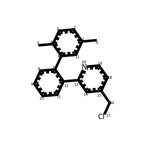 Cc1ccc(C)c(-c2ccccc2-c2cc(CCl)ccn2)c1